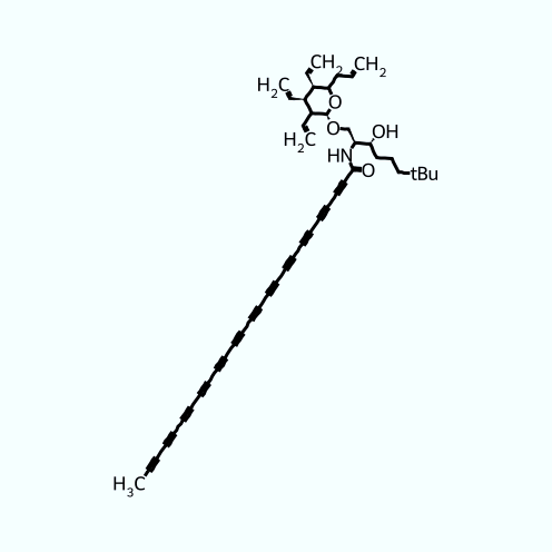 C=CCC1O[C@H](OC[C@H](NC(=O)C#CC#CC#CC#CC#CC#CC#CC#CC#CC#CC#CC#CC)[C@H](O)CCCC(C)(C)C)C(C=C)[C@@H](C=C)[C@H]1C=C